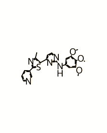 COc1cc(Nc2nccc(-c3sc(-c4cccnc4)nc3C)n2)cc(OC)c1OC